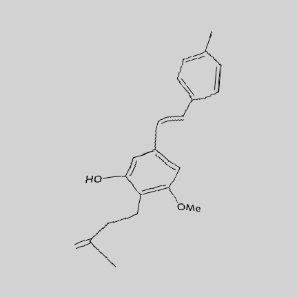 C=C(C)CCc1c(O)cc(C=Cc2ccc(C)cc2)cc1OC